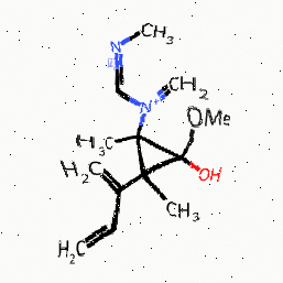 C=CC(=C)C1(C)C(O)(OC)C1(C)[N+](=C)/C=N\C